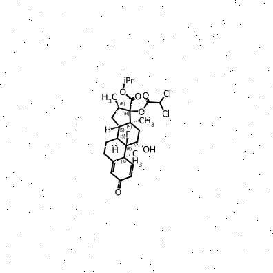 CC(C)OC(=O)[C@@]1(OC(=O)C(Cl)Cl)[C@H](C)C[C@H]2[C@@H]3CCC4=CC(=O)C=C[C@]4(C)[C@@]3(F)[C@@H](O)C[C@@]21C